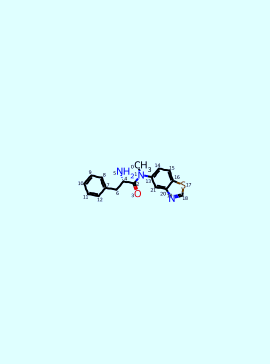 CN(C(=O)[C@@H](N)Cc1ccccc1)c1ccc2scnc2c1